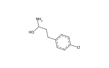 NC(O)CCc1ccc(Cl)cc1